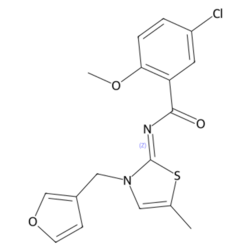 COc1ccc(Cl)cc1C(=O)/N=c1\sc(C)cn1Cc1ccoc1